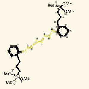 CO[Si](CCCc1ccccc1SSSSSSSSc1ccccc1CCC[Si](OC)(OC)OC)(OC)OC